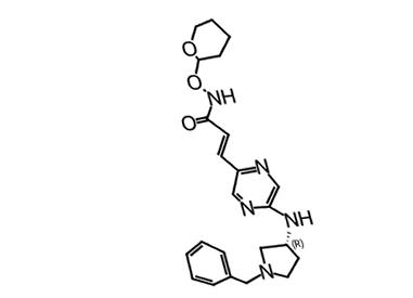 O=C(C=Cc1cnc(N[C@@H]2CCN(Cc3ccccc3)C2)cn1)NOC1CCCCO1